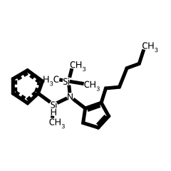 CCCCCC1=C(N([SiH](C)c2ccccc2)[Si](C)(C)C)CC=C1